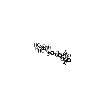 O=C(NC[C@H](O)[C@@H](O)[C@H](O)[C@H](O)CO)c1ccc(COc2cc(Cl)c(CN3CSC[C@H]3C(=O)N3CCN(C4CC4)c4ccccc43)cc2Cl)cc1